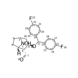 CN1C2CC[C@H]1[C@@H](C=O)[C@H](OC(c1ccc(F)cc1)c1ccc(F)cc1)C2